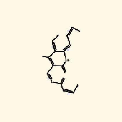 C=C(/C=C\C)/N=C\C1=C(C)C(=C/C)/C(=C\C=C/C)NC1=C